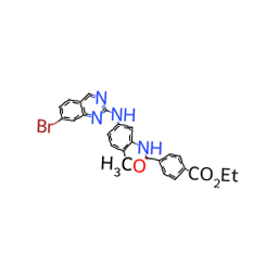 CCOC(=O)c1ccc(C(=O)Nc2cc(Nc3ncc4ccc(Br)cc4n3)ccc2C)cc1